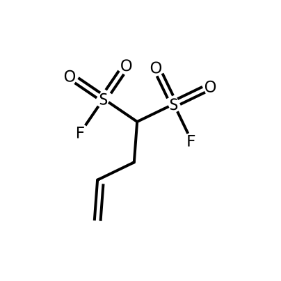 C=CCC(S(=O)(=O)F)S(=O)(=O)F